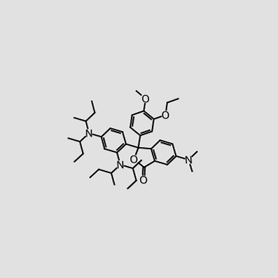 CCOc1cc(C2(c3ccc(N(C(C)CC)C(C)CC)cc3N(C(C)CC)C(C)CC)OC(=O)c3cc(N(C)C)ccc32)ccc1OC